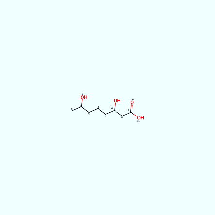 CC(O)CCCC(O)CC(=O)O